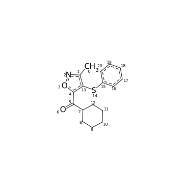 Cc1noc(C(=O)C2CCCCC2)c1Sc1ccccc1